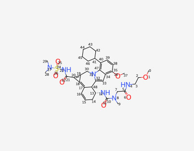 COCCNC(=O)CN(C)C(=O)N[C@@H]1CC=CC2=C3C(=C3C(=O)NS(=O)(=O)N(C)C)Cn3c(cc4c(OC)ccc(C5CCCCC5)c43)C21